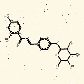 O=C(/C=C/c1ccc(OC2OC(O)C(O)C(O)C2O)cc1)c1ccc(O)cc1O